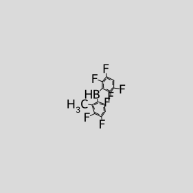 Cc1c(F)c(F)cc(F)c1Bc1c(F)c(F)cc(F)c1F